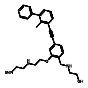 CNCCNCCOc1cc(C#Cc2cccc(-c3ccccc3)c2C)ccc1CNCCO